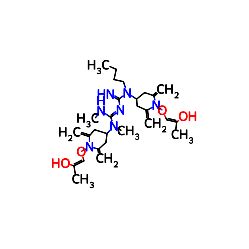 C=C1CC(N(CCCC)C(=N)/N=C(\NC)N(C)C2CC(=C)N(O/C=C(/C)O)C(=C)C2)CC(=C)N1O/C=C(/C)O